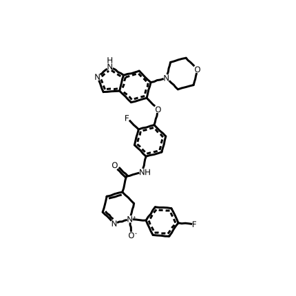 O=C(Nc1ccc(Oc2cc3cn[nH]c3cc2N2CCOCC2)c(F)c1)C1=CC=N[N+]([O-])(c2ccc(F)cc2)C1